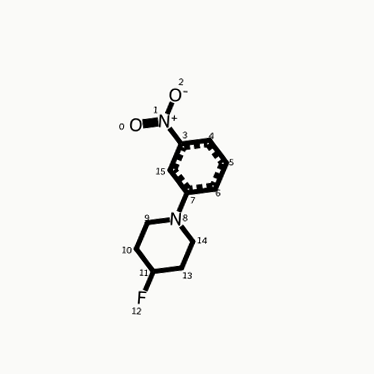 O=[N+]([O-])c1cccc(N2CCC(F)CC2)c1